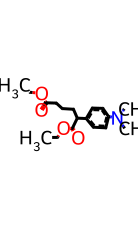 CCOC(=O)CCCC(C(=O)OCC)c1ccc(N(C)C)cc1